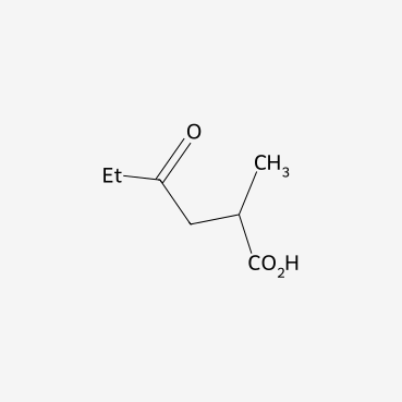 CCC(=O)CC(C)C(=O)O